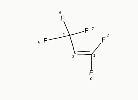 FC(F)=CC(F)(F)F